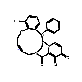 Cc1cccc2c1OC/C=C\CN1CN([C@@H]2c2ccccc2)n2ccc(=O)c(O)c2C1=O